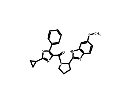 CSc1ccc2nc(C3CCCN3C(=O)c3nc(C4CC4)sc3-c3ccccc3)[nH]c2c1